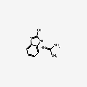 N=C(N)N.Oc1nc2ccccc2[nH]1